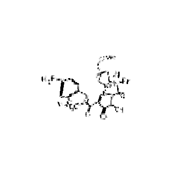 CCN1C(=O)c2c(O)c(=O)c(C(=O)N(C)Cc3ccc(P)cc3C)cn2N2C[C@H](COC)C[C@@H]12